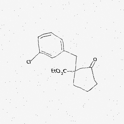 CCOC(=O)C1(Cc2cccc(Cl)c2)CCCC1=O